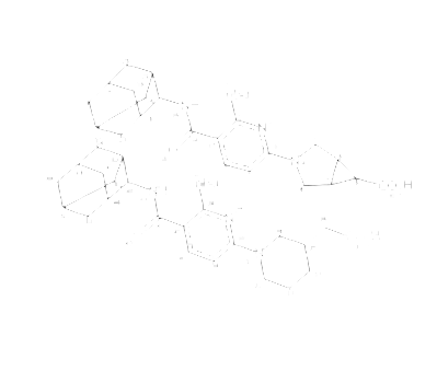 CCCCc1nc(N2CC3C(C2)C3C(=O)O)ccc1C(=O)NC1C2CC3CC(C2)CC1C3.CCCCc1nc(N2CCC[C@@H](CC(=O)O)C2)ccc1C(=O)NC1C2CC3CC(C2)CC1C3